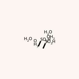 CS(=O)(=O)O.CS(=O)(=O)O.O.O.O.O